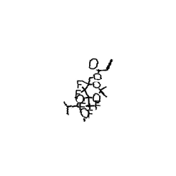 C=CC(=O)OCC1(C)OC(C)(C)OC(OC(OC)C(C)C)(C(F)(F)F)C1(F)F